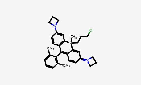 COc1cccc(OC)c1C1=C2C=CC(=[N+]3CCC3)C=C2[Si](C)(CCCCl)c2cc(N3CCC3)ccc21